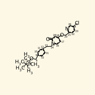 CC(C)(C)[Si](C)(C)OCc1ccc(CCn2ccc(OCc3ccc(Cl)cn3)cc2=O)cc1